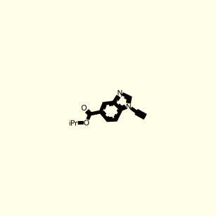 C#Cn1cnc2cc(C(=O)OC(C)C)ccc21